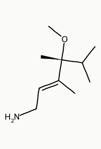 CO[C@@](C)(/C(C)=C/CN)C(C)C